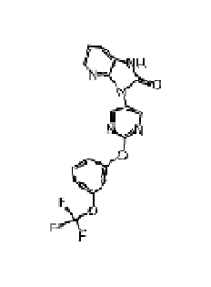 O=c1[nH]c2cccnc2n1-c1cnc(Oc2cccc(OC(F)(F)F)c2)nc1